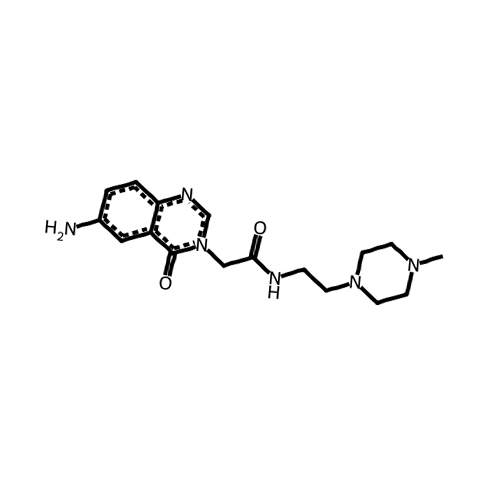 CN1CCN(CCNC(=O)Cn2cnc3ccc(N)cc3c2=O)CC1